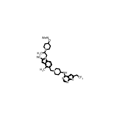 CNOC1CCN(C(C)Cn2c(C#N)cc3c(C)c(CN4CCC(Nc5ncnc6sc(CC(F)(F)F)cc56)CC4)ccc32)CC1